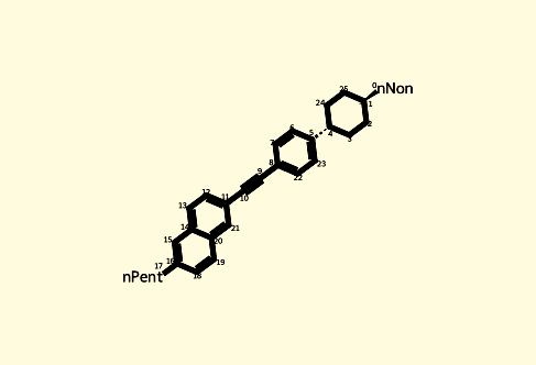 CCCCCCCCC[C@H]1CC[C@H](c2ccc(C#Cc3ccc4cc(CCCCC)ccc4c3)cc2)CC1